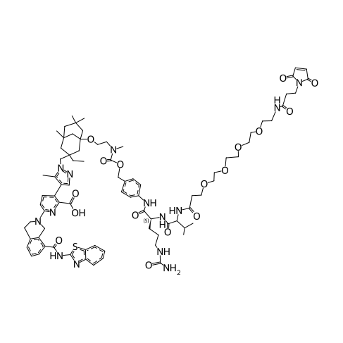 CCC1(Cn2ncc(-c3ccc(N4CCc5cccc(C(=O)Nc6nc7ccccc7s6)c5C4)nc3C(=O)O)c2C)CC2(C)CC(C)(C)CC(OCCN(C)C(=O)OCc3ccc(NC(=O)[C@H](CCCNC(N)=O)NC(=O)C(NC(=O)CCOCCOCCOCCOCCNC(=O)CCN4C(=O)C=CC4=O)C(C)C)cc3)(C2)C1